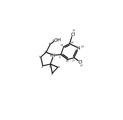 OCC1CCC2(CC2)N1c1cc(Cl)nc(Cl)c1